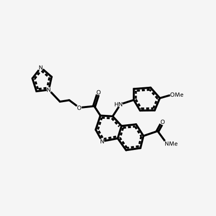 CNC(=O)c1ccc2ncc(C(=O)OCCn3ccnc3)c(Nc3ccc(OC)cc3)c2c1